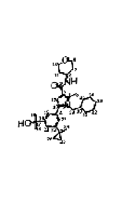 Cc1c(C(=O)NC2CCOCC2)cc(-c2cc(C(C)(C)O)cc(C3(C)CC3)c2)n1CC1CCCCC1